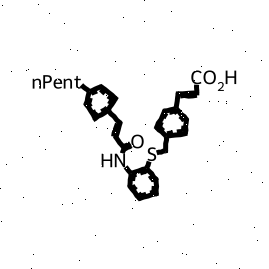 CCCCCc1ccc(C=CC(=O)Nc2ccccc2SCc2ccc(C=CC(=O)O)cc2)cc1